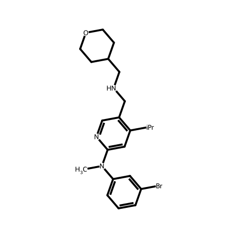 CC(C)c1cc(N(C)c2cccc(Br)c2)ncc1CNCC1CCOCC1